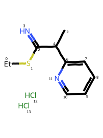 CCSC(=N)C(C)c1ccccn1.Cl.Cl